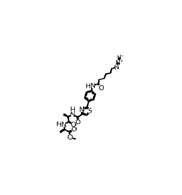 C=C(NC(=O)c1csc(-c2ccc(NC(=O)CCCCCN=[N+]=[N-])cc2)n1)C(=O)NC(=C)C(=O)OC